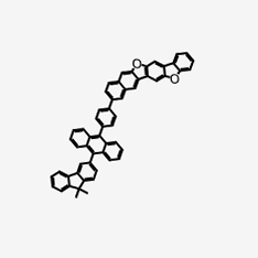 CC1(C)c2ccccc2-c2cc(-c3c4ccccc4c(-c4ccc(-c5ccc6cc7oc8cc9c(cc8c7cc6c5)oc5ccccc59)cc4)c4ccccc34)ccc21